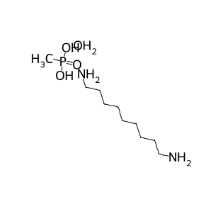 CP(=O)(O)O.NCCCCCCCCCN.O